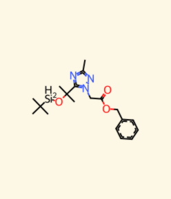 Cc1nc(C(C)(C)O[SiH2]C(C)(C)C)n(CC(=O)OCc2ccccc2)n1